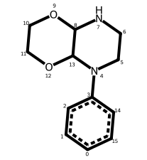 c1ccc(N2CCNC3OCCOC32)cc1